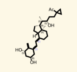 C=C1/C(=C\C=C2/CCC[C@]3(C)[C@@H]([C@H](C)[C@@H](O)CCC4(C(C)=O)CC4)CC[C@@H]23)C[C@@H](O)C[C@@H]1O